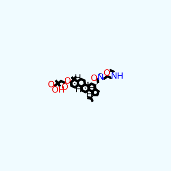 C=C(C)[C@@H]1CCC2[C@@H](CC(=O)N(C)CC3CNCCO3)C[C@]3(C)[C@H](CC[C@@H]4[C@@]5(C)CC[C@H](OC(=O)CC(C)(C)C(=O)O)C(C)(C)[C@@H]5CC[C@]43C)[C@H]21